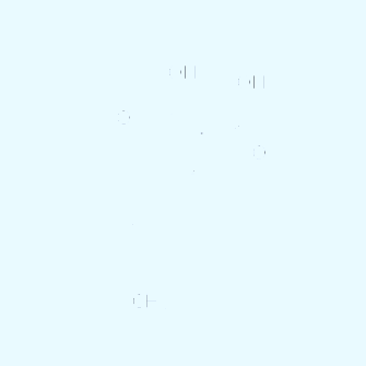 CC#CCCC(C(=O)O)C(=O)O